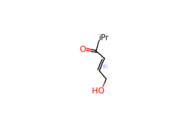 CC(C)C(=O)/C=C/CO